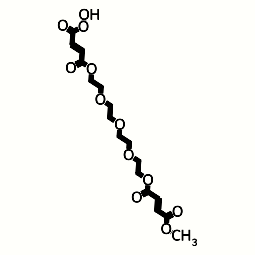 COC(=O)/C=C/C(=O)OCCOCCOCCOCCOC(=O)/C=C/C(=O)OO